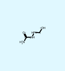 NC(=O)NPCO